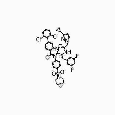 O=C(Cn1ccc(C2CC2)n1)N[C@@H](Cc1cc(F)cc(F)c1)c1nc2cc(-c3c(Cl)cccc3Cl)ccc2c(=O)n1-c1ccc(S(=O)(=O)N2CCOCC2)cc1